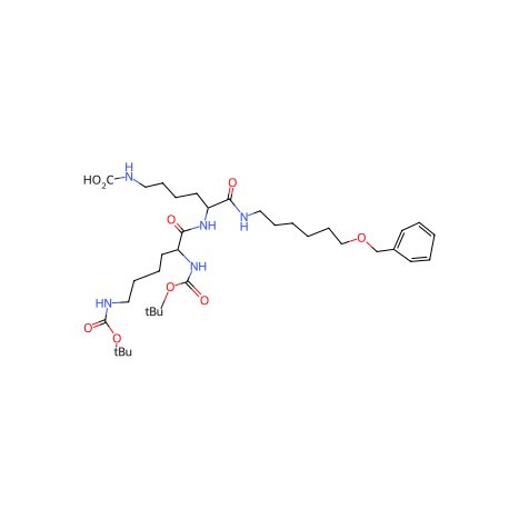 CC(C)(C)OC(=O)NCCCCC(NC(=O)OC(C)(C)C)C(=O)NC(CCCCNC(=O)O)C(=O)NCCCCCCOCc1ccccc1